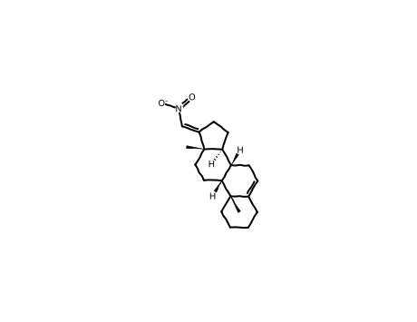 C[C@]12CCCCC1=CC[C@@H]1[C@H]2CC[C@]2(C)C(=C[N+](=O)[O-])CC[C@@H]12